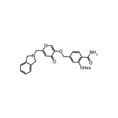 CCCCCCc1cc(COc2coc(CN3Cc4ccccc4C3)cc2=O)ccc1C(N)=O